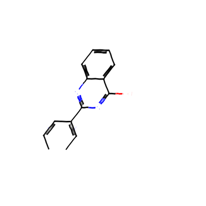 C/C=C\C(=C/C)c1nc(O)c2ccccc2n1